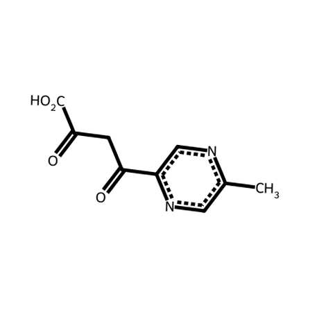 Cc1cnc(C(=O)CC(=O)C(=O)O)cn1